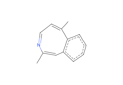 CC1=Cc2ccccc2C(C)=CC=N1